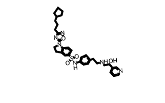 O=S(=O)(Nc1ccc(CCNCC(O)c2cccnc2)cc1)c1ccc2c(c1)CCN2c1nc(CCCC2CCCC2)no1